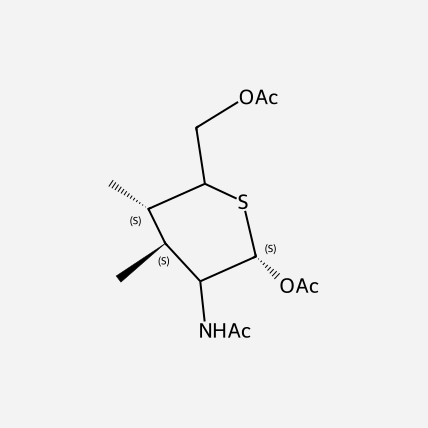 CC(=O)NC1[C@@H](C)[C@H](C)C(COC(C)=O)S[C@@H]1OC(C)=O